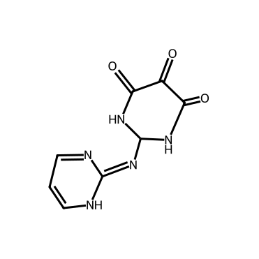 O=C1NC(N=c2nccc[nH]2)NC(=O)C1=O